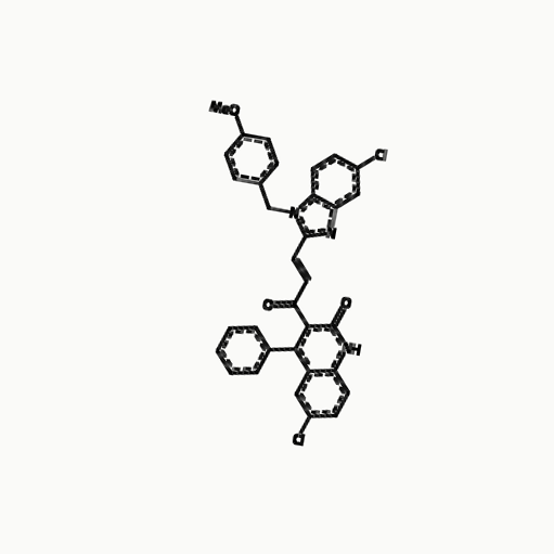 COc1ccc(Cn2c(C=CC(=O)c3c(-c4ccccc4)c4cc(Cl)ccc4[nH]c3=O)nc3cc(Cl)ccc32)cc1